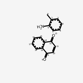 Cc1ccccc1N.O=C1C=CC(=O)c2ccccc21